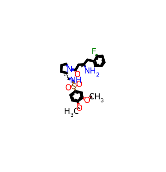 COc1ccc(S(=O)(=O)NC[C@@H]2CCCN2C(=O)C[C@H](N)Cc2ccccc2F)cc1OC